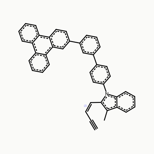 C#C/C=C\c1c(C)c2ccccc2n1-c1ccc(-c2cccc(-c3ccc4c5ccccc5c5ccccc5c4c3)c2)cc1